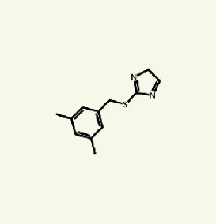 Cc1cc(C)cc(CSC2=NCC=N2)c1